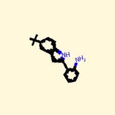 CC(C)(C)c1ccc2[nH]c(-c3ccccc3N)cc2c1